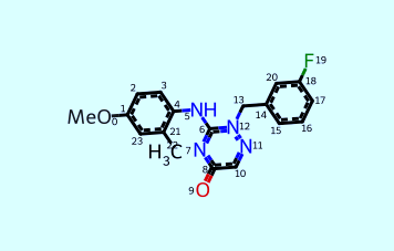 COc1ccc(Nc2nc(=O)cnn2Cc2cccc(F)c2)c(C)c1